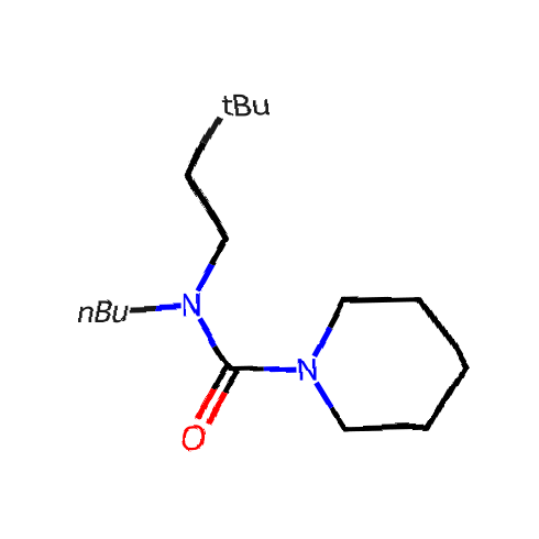 CCCCN(CCC(C)(C)C)C(=O)N1CCCCC1